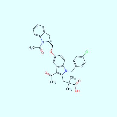 CC(=O)c1c(CC(C)(C)C(=O)O)n(Cc2ccc(Cl)cc2)c2ccc(OC[C@@H]3Cc4ccccc4N3C(C)=O)cc12